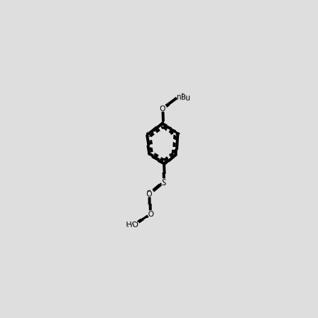 CCCCOc1ccc(SOOO)cc1